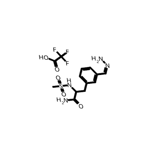 CS(=O)(=O)NC(Cc1cccc(/C=N\N)c1)C(N)=O.O=C(O)C(F)(F)F